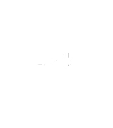 B.[O-2].[O-2].[Ti+4]